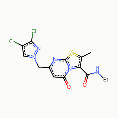 CCNC(=O)c1c(C)sc2nc(Cn3cc(Cl)c(Cl)n3)cc(=O)n12